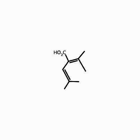 CC(C)=CC(C(=O)O)=C(C)C